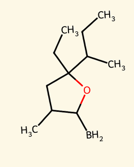 BC1OC(CC)(C(C)CC)CC1C